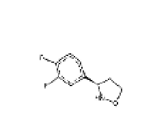 Fc1ccc([C@H]2CCON2)cc1F